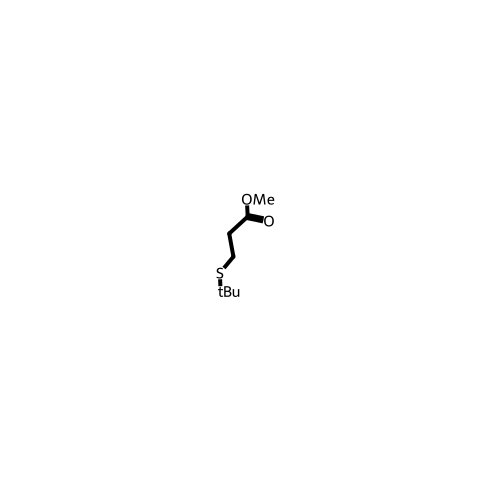 COC(=O)CCSC(C)(C)C